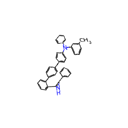 Cc1cccc(N(c2ccccc2)c2ccc(-c3ccc(-c4ccccc4C4=C(c5ccccc5)N4)cc3)cc2)c1